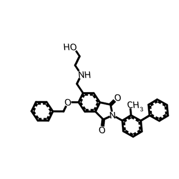 Cc1c(-c2ccccc2)cccc1N1C(=O)c2cc(CNCCO)c(OCc3ccccc3)cc2C1=O